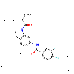 COCC(=O)N1CCc2ccc(NC(=O)c3ccc(F)c(F)c3)cc21